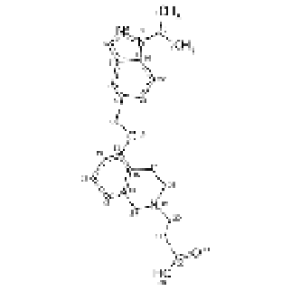 CC(C)n1ncc2cc(COc3cccc4c3CCN(CCC(=O)O)C4)ccc21